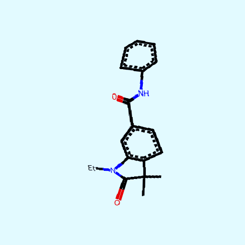 CCN1C(=O)C(C)(C)c2ccc(C(=O)Nc3ccccc3)cc21